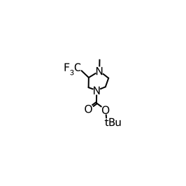 CN1CCN(C(=O)OC(C)(C)C)CC1C(F)(F)F